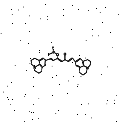 O=C(/C=C(/C=C/c1cc2c3c(c1)CCCN3CCC2)OB(F)F)/C=C/c1cc2c3c(c1)CCCN3CCC2